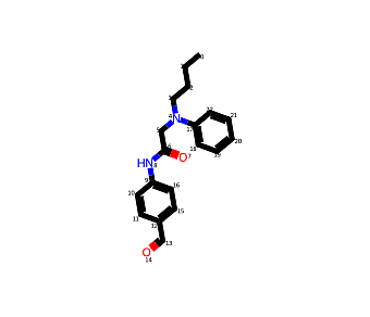 CCCCN(CC(=O)Nc1ccc(C=O)cc1)c1ccccc1